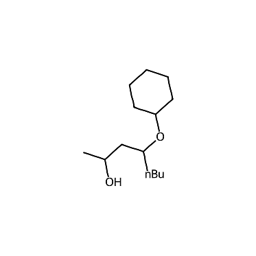 CCCCC(CC(C)O)OC1CCCCC1